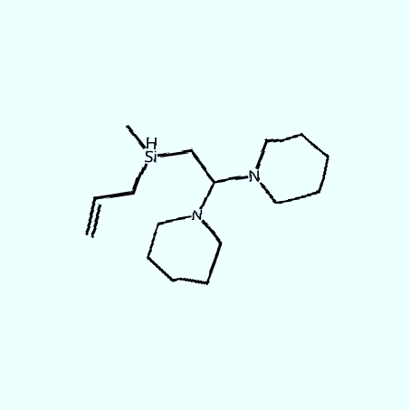 C=CC[SiH](C)CC(N1CCCCC1)N1CCCCC1